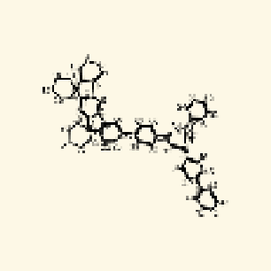 C1=C2C(=CC3C1C1=CCCC=C1C31CCCCC1)C1(CCCCC1)c1ccc(-c3ccc(-c4cc(-c5ccc(-c6ccccc6)cc5)nc(-c5ccccc5)n4)cc3)cc12